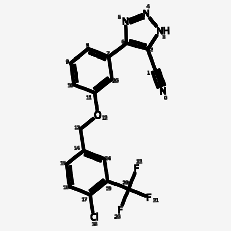 N#Cc1[nH]nnc1-c1cccc(OCc2ccc(Cl)c(C(F)(F)F)c2)c1